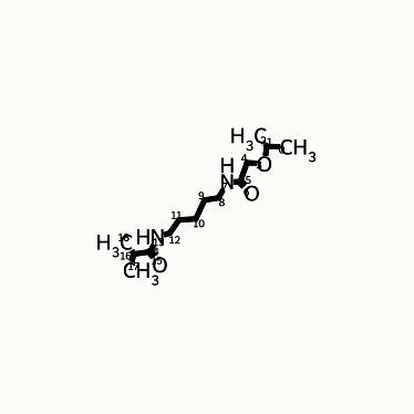 CC(C)OCC(=O)NCCCCCNC(=O)C(C)C